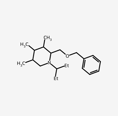 CCC(CC)N1CC(C)C(C)C(C)C1COCc1ccccc1